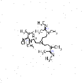 C/N=C(/N(C)C)N(C)CCN(CCN(C)/C(C)=N/C)CCN(C)/C(C)=N/C